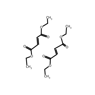 CCOC(=O)C=CC(=O)OCC.CCOC(=O)C=CC(=O)OCC